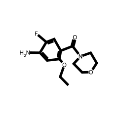 CCOc1cc(N)c(F)cc1C(=O)N1CCOCC1